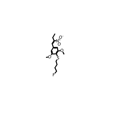 CCC(=Cc1cc(OC)c(SCCCCF)c(OC)c1)[N+](=O)[O-]